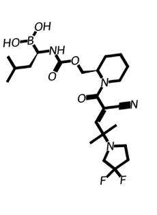 CC(C)C[C@H](NC(=O)OC[C@H]1CCCCN1C(=O)C(C#N)=CC(C)(C)N1CCC(F)(F)C1)B(O)O